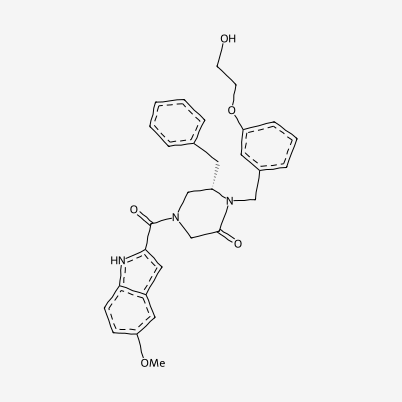 COc1ccc2[nH]c(C(=O)N3CC(=O)N(Cc4cccc(OCCO)c4)[C@@H](Cc4ccccc4)C3)cc2c1